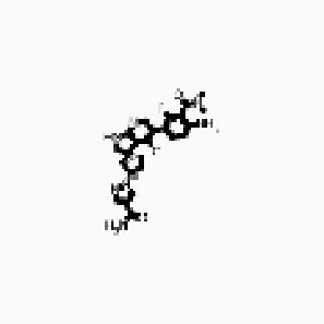 CN(C)C(=O)c1c(N)ccc(-c2cnc3c(c2Cl)[C@@]2(CC[C@@H](n4cc(C(N)=O)cn4)C2)CN3)c1F